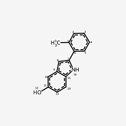 Cc1ccccc1-c1cc2cc(O)ccc2[nH]1